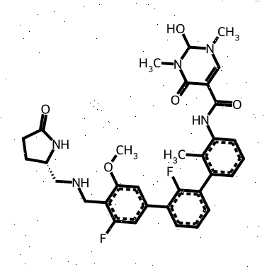 COc1cc(-c2cccc(-c3cccc(NC(=O)C4=CN(C)C(O)N(C)C4=O)c3C)c2F)cc(F)c1CNC[C@@H]1CCC(=O)N1